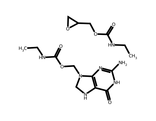 CCNC(=O)OCC1CO1.CCNC(=O)OCN1CNc2c1nc(N)[nH]c2=O